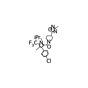 Cc1noc(C2CCN(C(=O)c3c(-c4ccc(Cl)cc4)c(C)c(C(F)(F)F)n3CC(C)C)CC2)n1